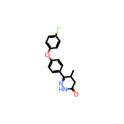 CC1CC(=O)NN=C1c1ccc(Oc2ccc(F)cc2)cc1